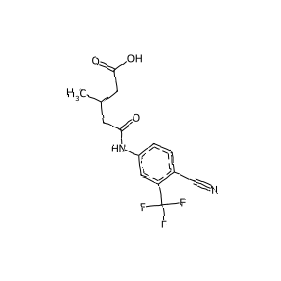 CC(CC(=O)O)CC(=O)Nc1ccc(C#N)c(C(F)(F)F)c1